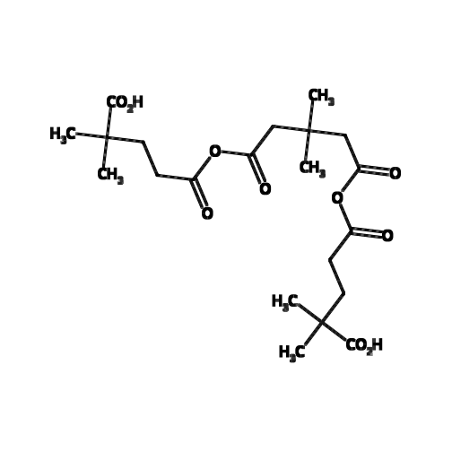 CC(C)(CC(=O)OC(=O)CCC(C)(C)C(=O)O)CC(=O)OC(=O)CCC(C)(C)C(=O)O